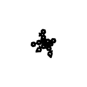 CC1(c2ccc3c(c2)c2cc(C4(C)CC=C5CC5C4)cc4c2n3-c2c3c(cc5c2oc2ccccc25)-c2cc5c(cc2N(c2ccc(-c6ccccc6)cc2)B34)C(C)(C)c2ccccc2-5)CC=C2CC2C1